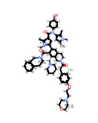 Cc1c(N(C(=O)c2cc(-c3cc4c(cc3C(=O)N3Cc5ccccc5C[C@H]3CN3CCCCC3)CN(C(=O)Cc3ccc(OCCN5CCOC[C@H]5C)cc3F)CC4)n(C)c2C)c2ccc(O)cc2)cc(C#N)n1C